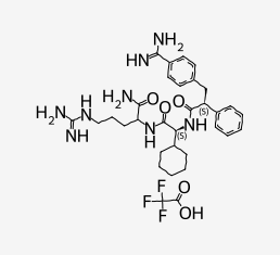 N=C(N)NCCCC(NC(=O)[C@@H](NC(=O)[C@@H](Cc1ccc(C(=N)N)cc1)c1ccccc1)C1CCCCC1)C(N)=O.O=C(O)C(F)(F)F